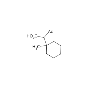 CC(=O)C(C(=O)O)C1(C)CCCCC1